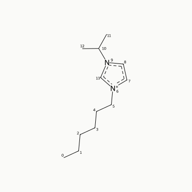 CCCCCC[n+]1ccn(C(C)C)c1